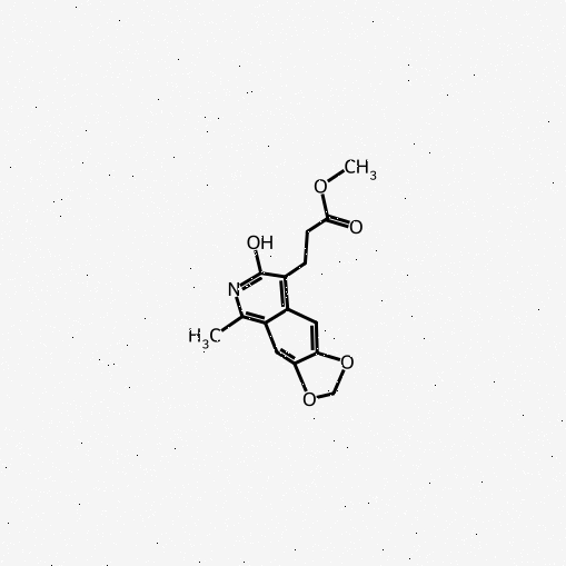 COC(=O)CCc1c(O)nc(C)c2cc3c(cc12)OCO3